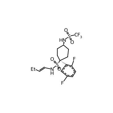 CC/C=C/NS(=O)(=O)[C@]1(c2cc(F)ccc2F)CC[C@H](NS(=O)(=O)C(F)(F)F)CC1